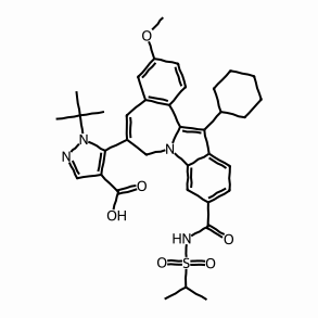 COc1ccc2c(c1)C=C(c1c(C(=O)O)cnn1C(C)(C)C)Cn1c-2c(C2CCCCC2)c2ccc(C(=O)NS(=O)(=O)C(C)C)cc21